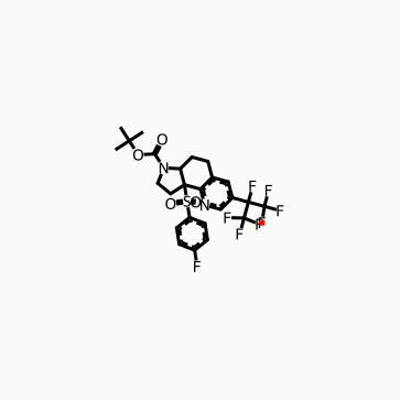 CC(C)(C)OC(=O)N1CCC2(S(=O)(=O)c3ccc(F)cc3)c3ncc(C(F)(C(F)(F)F)C(F)(F)F)cc3CCC12